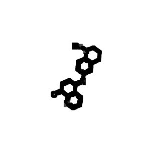 CCC(C)N1CCCc2cc(N=C3C=CC(=O)c4ncccc43)ccc21